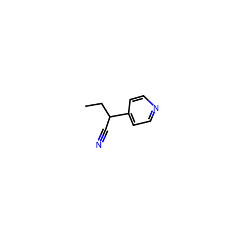 CCC(C#N)c1ccncc1